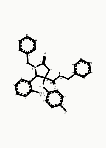 Bc1ccccc1C1N(Cc2ccccc2)C(=O)CC1(Sc1ccc(C)cc1)C(=O)NCc1ccccc1